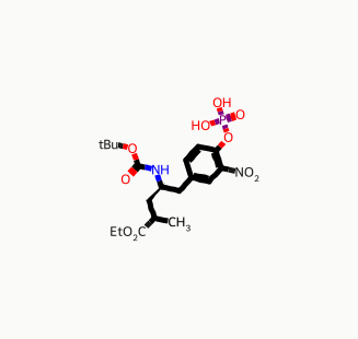 CCOC(=O)C(C)C[C@H](Cc1ccc(OP(=O)(O)O)c([N+](=O)[O-])c1)NC(=O)OC(C)(C)C